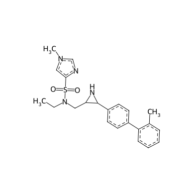 CCN(CC1NC1c1ccc(-c2ccccc2C)cc1)S(=O)(=O)c1cn(C)cn1